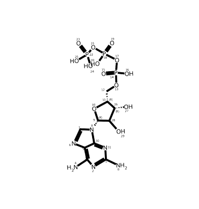 Nc1nc(N)c2ncn([C@@H]3O[C@H](COP(=O)(O)OP(=O)(O)OP(=O)(O)O)[C@H](O)C3O)c2n1